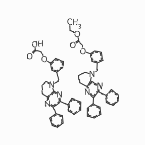 CCOC(=O)COc1cccc(CN2CCCc3nc(-c4ccccc4)c(-c4ccccc4)nc32)c1.O=C(O)COc1cccc(CN2CCCc3nc(-c4ccccc4)c(-c4ccccc4)nc32)c1